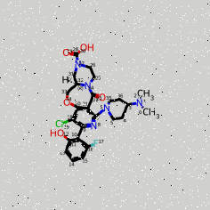 CN(C)C1CCN(c2nc(-c3c(O)cccc3F)c(Cl)c3c2C(=O)N2CCN(C(=O)O)C[C@@H]2CO3)CC1